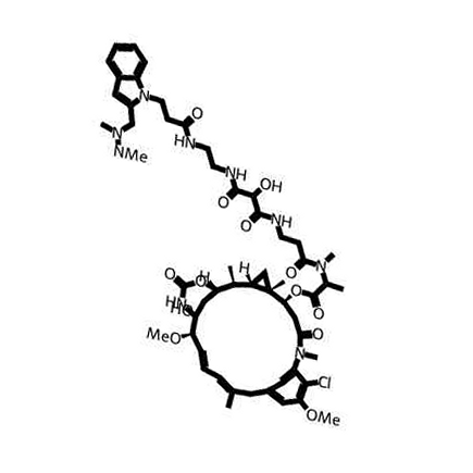 CNN(C)Cc1cc2ccccc2n1CCC(=O)NCCNC(=O)C(O)C(=O)NCCC(=O)N(C)C(C)C(=O)O[C@H]1CC(=O)N(C)c2cc(cc(OC)c2Cl)C/C(C)=C/C=C/[C@@H](OC)[C@@]2(O)C[C@H](OC(=O)N2)[C@@H](C)[C@@H]2C[C@]12C